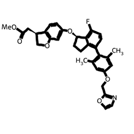 COC(=O)C[C@@H]1COc2cc(O[C@@H]3CCc4c(-c5c(C)cc(OCc6ncco6)cc5C)ccc(F)c43)ccc21